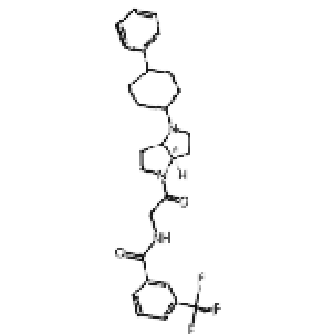 O=C(NCC(=O)N1CCC2[C@H]1CCN2C1CCC(c2ccccc2)CC1)c1cccc(C(F)(F)F)c1